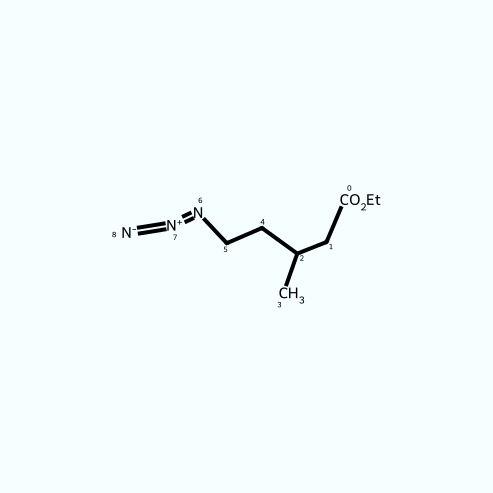 CCOC(=O)CC(C)CCN=[N+]=[N-]